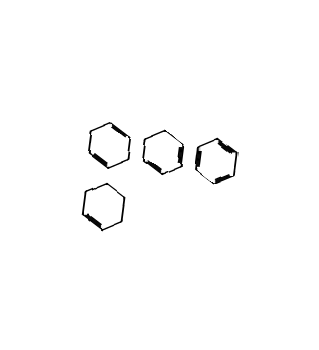 C1=CCC=CC1.C1=CCCC=C1.C1=CCCCC1.c1ccccc1